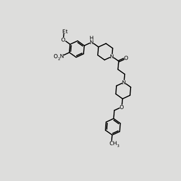 CCOc1cc(NC2CCN(C(=O)CCN3CCC(OCc4ccc(C)cc4)CC3)CC2)ccc1[N+](=O)[O-]